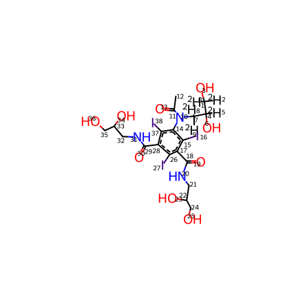 [2H]C([2H])(O)C([2H])(O)C([2H])([2H])N(C(C)=O)c1c(I)c(C(=O)NCC(O)CO)c(I)c(C(=O)NCC(O)CO)c1I